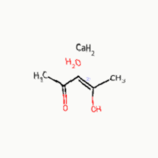 CC(=O)/C=C(/C)O.O.[CaH2]